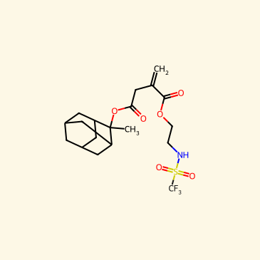 C=C(CC(=O)OC1(C)C2CC3CC(C2)CC1C3)C(=O)OCCNS(=O)(=O)C(F)(F)F